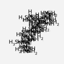 [SiH3]N[SiH]1C[SiH](N[SiH3])N[SiH](N[SiH](C[SiH]2N[SiH2]N[SiH]3N([SiH2]N[SiH](C[SiH]4N[SiH2]N[SiH2]N[SiH]5N[SiH2]N[SiH2]N45)N[SiH2]N4[SiH2]N[SiH2]N[SiH2]4)[SiH2]N[SiH2]N23)N[SiH3])N[SiH](C[SiH]2N[SiH2]N[SiH2]N2)N1